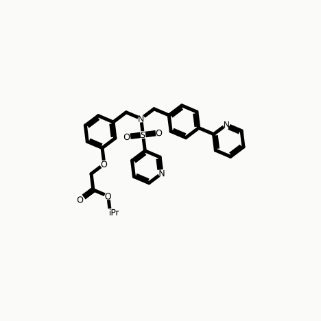 CC(C)OC(=O)COc1cccc(CN(Cc2ccc(-c3ccccn3)cc2)S(=O)(=O)c2cccnc2)c1